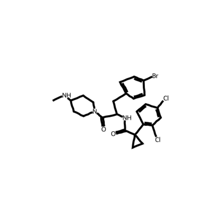 CNC1CCN(C(=O)C(Cc2ccc(Br)cc2)NC(=O)C2(c3ccc(Cl)cc3Cl)CC2)CC1